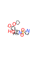 COc1ccc([C@@H]2CN(S(=O)(=O)c3cccnc3)C[C@@]2(C)[C@@H](C)O)cc1OC1CCCC1